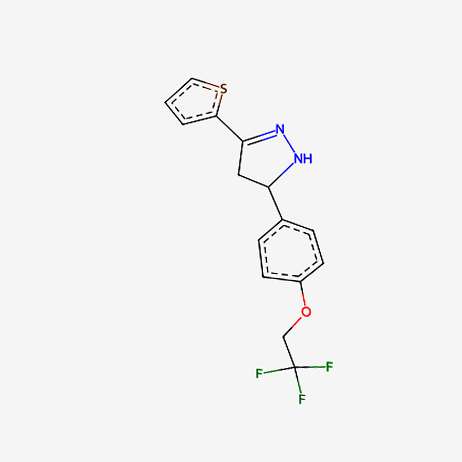 FC(F)(F)COc1ccc(C2CC(c3cccs3)=NN2)cc1